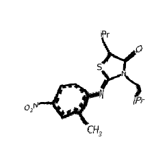 Cc1cc([N+](=O)[O-])ccc1/N=C1\SC(C(C)C)C(=O)N1CC(C)C